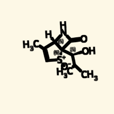 CC1=C[S+]([O-])[C@@]2([C@@H](O)C(C)C)C(=O)N[C@@H]12